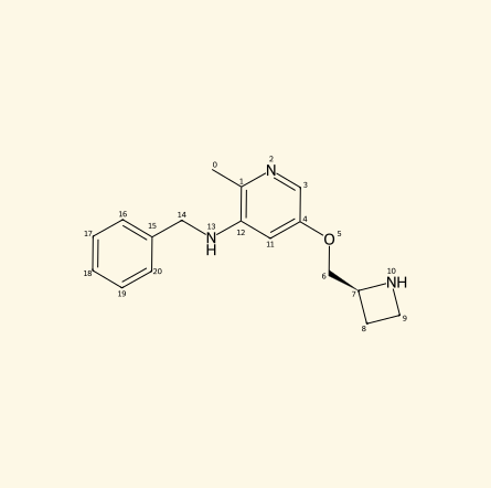 Cc1ncc(OC[C@@H]2CCN2)cc1NCc1ccccc1